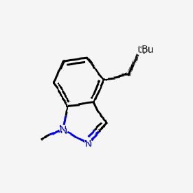 Cn1ncc2c(CC(C)(C)C)cccc21